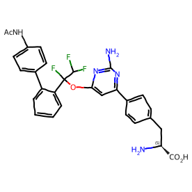 CC(=O)Nc1ccc(-c2ccccc2C(F)(Oc2cc(-c3ccc(C[C@H](N)C(=O)O)cc3)nc(N)n2)C(F)F)cc1